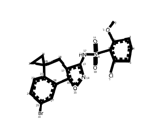 COc1cccc(Cl)c1S(=O)(=O)Nc1noc2c1CC1(CC1)c1ccc(Br)cc1-2